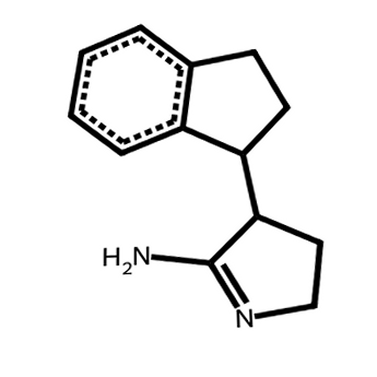 NC1=NCCC1C1CCc2ccccc21